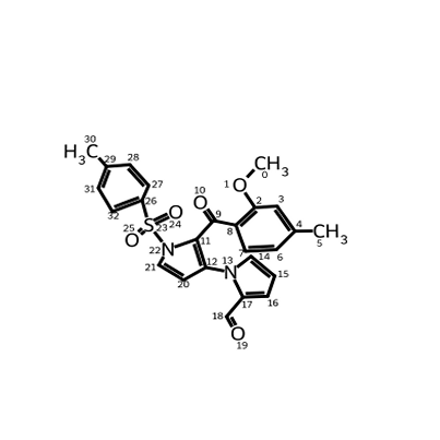 COc1cc(C)ccc1C(=O)c1c(-n2cccc2C=O)ccn1S(=O)(=O)c1ccc(C)cc1